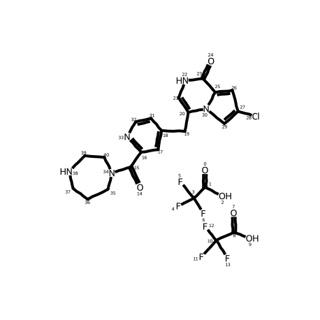 O=C(O)C(F)(F)F.O=C(O)C(F)(F)F.O=C(c1cc(Cc2c[nH]c(=O)c3cc(Cl)cn23)ccn1)N1CCCNCC1